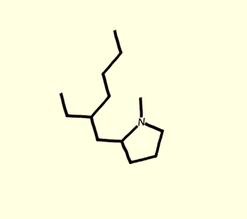 CCCCC(CC)CC1CCCN1C